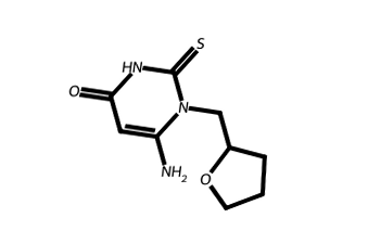 Nc1cc(=O)[nH]c(=S)n1CC1CCCO1